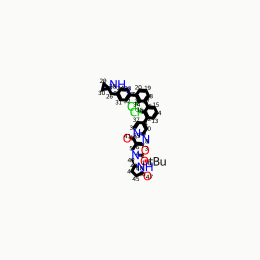 CC(C)(C)OC(=O)N(Cc1cnc2cc(-c3cccc(-c4cccc(-c5ccc(CC6(N)CC6)cc5)c4Cl)c3Cl)ccn2c1=O)C[C@@H]1CCC(=O)N1